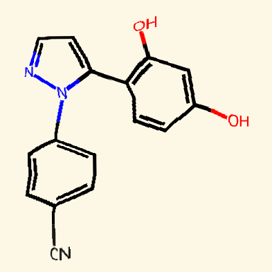 N#Cc1ccc(-n2nccc2-c2ccc(O)cc2O)cc1